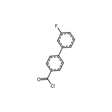 O=C(Cl)c1ccc(-c2cccc(F)c2)cc1